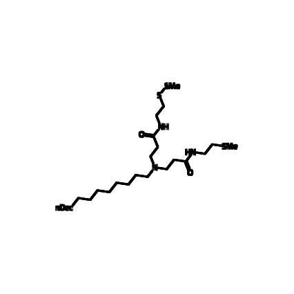 CCCCCCCCCCCCCCCCCCN(CCC(=O)NCCSC)CCC(=O)NCCSSC